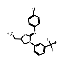 CCC1CN(c2cccc(C(F)(F)F)c2)C(=Nc2ccc(Cl)cc2)S1